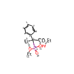 CCOC(=O)C(CC)(c1ccccc1)P(=O)(O)OCC